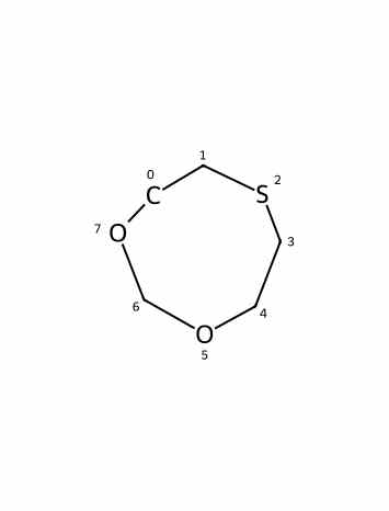 C1CSCCOCO1